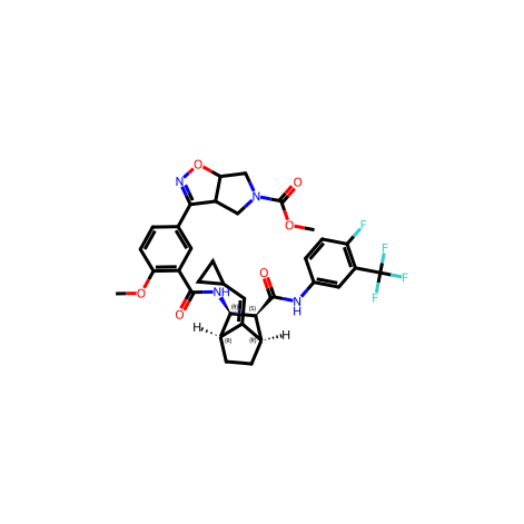 COC(=O)N1CC2ON=C(c3ccc(OC)c(C(=O)N[C@H]4[C@@H](C(=O)Nc5ccc(F)c(C(F)(F)F)c5)[C@H]5CC[C@@H]4/C5=C\C4CC4)c3)C2C1